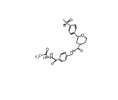 CS(=O)(=O)c1ccc(C2CN(C(=O)NCc3ccc(C(=O)NNC(=O)C(F)(F)F)cc3)CCO2)cc1